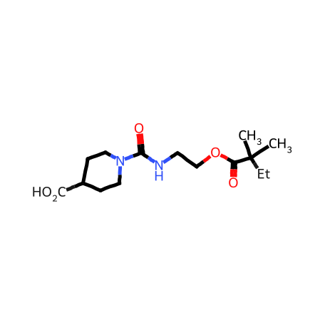 CCC(C)(C)C(=O)OCCNC(=O)N1CCC(C(=O)O)CC1